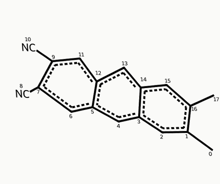 Cc1cc2cc3cc(C#N)c(C#N)cc3cc2cc1C